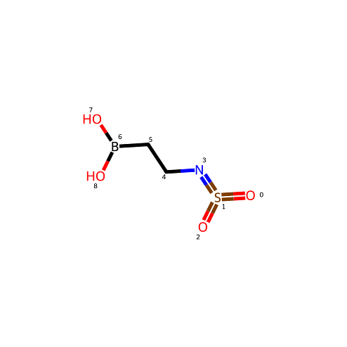 O=S(=O)=NCCB(O)O